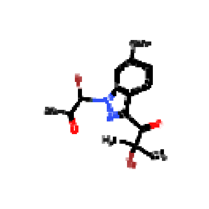 COc1ccc2c(C(=O)C(C)(C)Br)nn(C(Br)C(=O)C(C)(C)C)c2c1